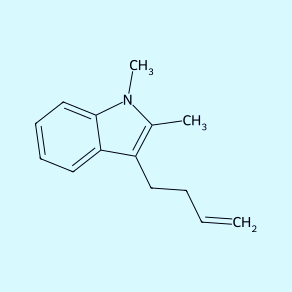 C=CCCc1c(C)n(C)c2ccccc12